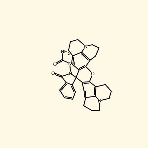 NC(=O)NN1C(=O)c2ccccc2C12c1cc3c4c(c1Oc1c2cc2c5c1CCCN5CCC2)CCCN4CCC3